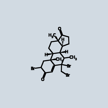 CC1[C@@H]2[C@@H](CC[C@]3(C)C(=O)CC[C@@H]23)[C@@]2(C)CC(Br)C(=O)C=C2C1(Br)CBr